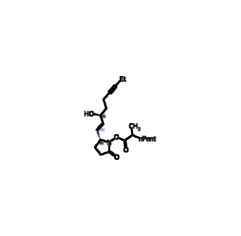 CCC#CCC[C@H](O)/C=C/[C@H]1CCC(=O)N1OC(=O)C(C)CCCCC